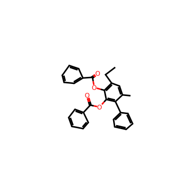 CCc1cc(C)c(-c2ccccc2)c(OC(=O)c2ccccc2)c1OC(=O)c1ccccc1